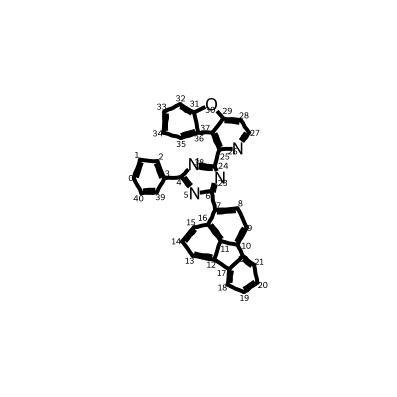 c1ccc(-c2nc(-c3ccc4c5c(cccc35)-c3ccccc3-4)nc(-c3nccc4oc5ccccc5c34)n2)cc1